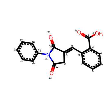 O=C(O)c1ccccc1C=C1CC(=O)N(c2ccccc2)C1=O